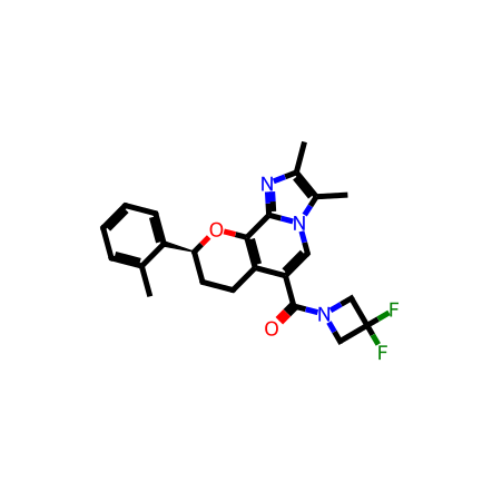 Cc1ccccc1[C@@H]1CCc2c(C(=O)N3CC(F)(F)C3)cn3c(C)c(C)nc3c2O1